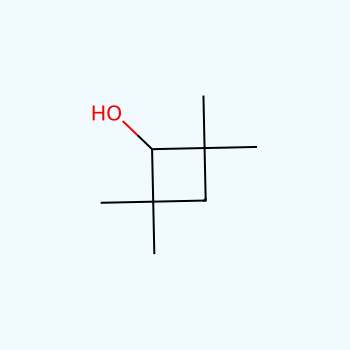 CC1(C)CC(C)(C)C1O